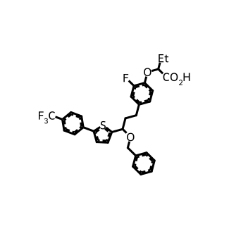 CCC(Oc1ccc(CCC(OCc2ccccc2)c2ccc(-c3ccc(C(F)(F)F)cc3)s2)cc1F)C(=O)O